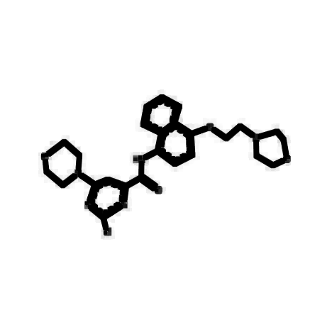 O=C(Nc1ccc(OCCN2CCOCC2)c2ccccc12)c1cc(N2CCOCC2)nc(Cl)n1